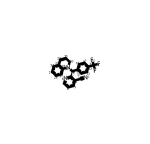 N#Cc1cccnc1[C@H](c1ccc(C(F)(F)F)cc1)N1CC=Cc2ccccc21